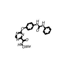 CONC(=O)c1ncnc(Oc2ccc(NC(=O)Nc3ccccc3)cc2)n1